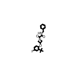 CC(C)(C)c1cc(F)ccc1OC1CN(C(=O)C(=O)NCc2ccccc2)C1